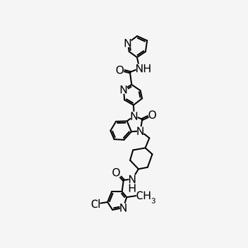 Cc1ncc(Cl)cc1C(=O)NC1CCC(Cn2c(=O)n(-c3ccc(C(=O)Nc4cccnc4)nc3)c3ccccc32)CC1